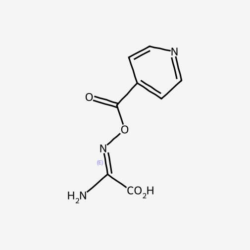 N/C(=N/OC(=O)c1ccncc1)C(=O)O